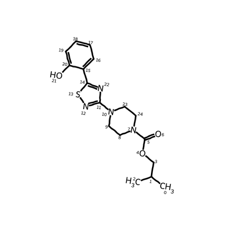 CC(C)COC(=O)N1CCN(c2nsc(-c3ccccc3O)n2)CC1